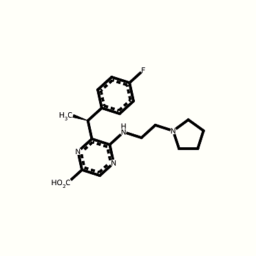 C[C@@H](c1ccc(F)cc1)c1nc(C(=O)O)cnc1NCCN1CCCC1